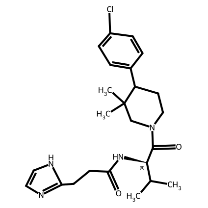 CC(C)[C@@H](NC(=O)CCc1ncc[nH]1)C(=O)N1CCC(c2ccc(Cl)cc2)C(C)(C)C1